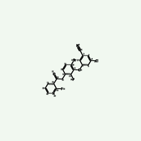 N#Cc1cc(Cl)cc(Oc2c(Br)ccc(CC(=O)c3cccnc3F)c2F)c1